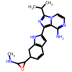 CNC1OC1C1C=Cc2cc(-c3nc(C(C)C)n4ccnc(N)c34)[nH]c2C1